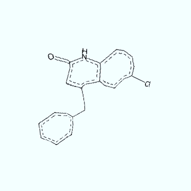 O=c1cc(Cc2ccccc2)c2cc(Cl)ccc2[nH]1